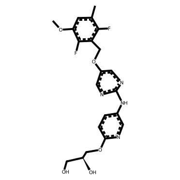 COc1cc(C)c(F)c(COc2cnc(Nc3ccc(OC[C@@H](O)CO)nc3)nc2)c1F